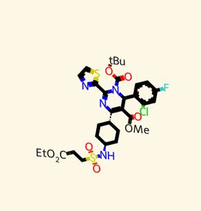 CCOC(=O)CCS(=O)(=O)N[C@H]1CC[C@H](C2=C(C(=O)OC)C(c3ccc(F)cc3Cl)N(C(=O)OC(C)(C)C)C(c3nccs3)=N2)CC1